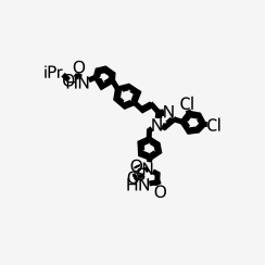 CC(C)OC(=O)Nc1cccc(-c2ccc(/C=C/c3nc(-c4ccc(Cl)cc4Cl)cn3Cc3ccc(N4CC(=O)NS4(=O)=O)cc3)cc2)c1